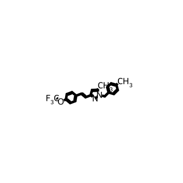 Cc1ccc(Cn2nc(/C=C/c3ccc(OC(F)(F)F)cc3)cc2C)cc1